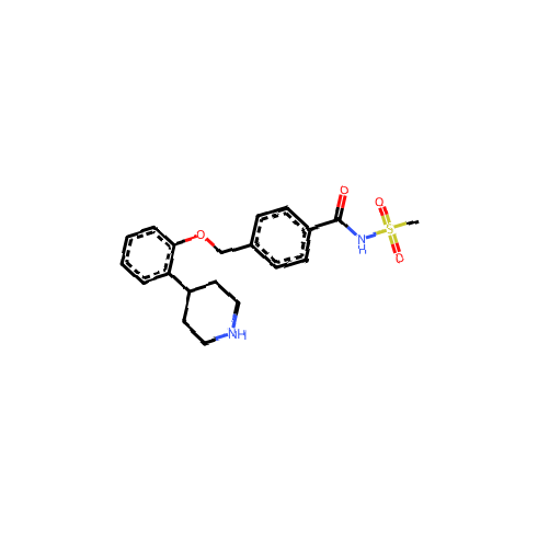 CS(=O)(=O)NC(=O)c1ccc(COc2ccccc2C2CCNCC2)cc1